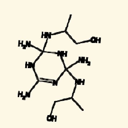 CC(CO)NC1(N)N=C(N)NC(N)(NC(C)CO)N1